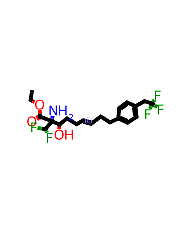 CCOC(=O)C(N)(C(F)F)C(O)CC/C=C/CCc1ccc(CC(F)(F)F)cc1